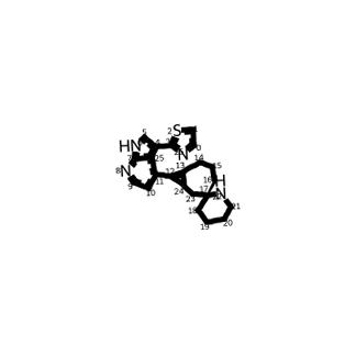 c1csc(-c2c[nH]c3nccc(C4=C5CCC[C@@]6(CCCCN6)CC54)c23)n1